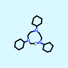 C1CCC(N2CCN(C3CCCCC3)CCN(C3CCCCC3)CC2)CC1